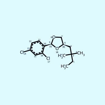 CCC(C)(C)C[C@@H]1CO[C@H](c2ccc(Cl)cc2Cl)O1